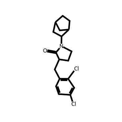 O=C1C(Cc2ccc(Cl)cc2Cl)CCN1C1CC2CCC1C2